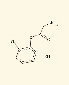 NCC(=O)Oc1ccccc1Cl.[KH]